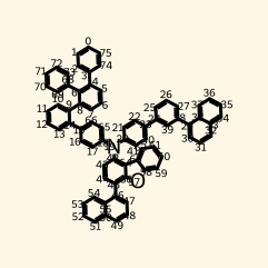 c1ccc(-c2cccc(-c3ccccc3-c3ccc(N(c4ccc(-c5cccc(-c6cccc7ccccc67)c5)cc4)c4ccc(-c5cccc6ccccc56)c5oc6ccccc6c45)cc3)c2-c2ccccc2)cc1